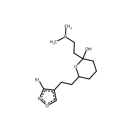 CCc1nocc1CCC1CCCC(O)(CCN(C)C)O1